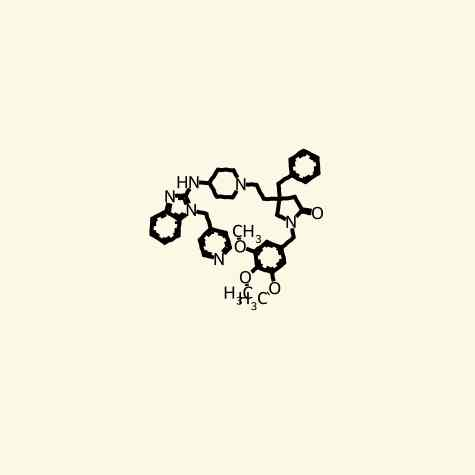 COc1cc(CN2CC(CCN3CCC(Nc4nc5ccccc5n4Cc4ccncc4)CC3)(Cc3ccccc3)CC2=O)cc(OC)c1OC